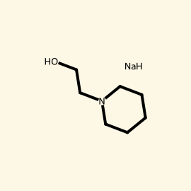 OCCN1CCCCC1.[NaH]